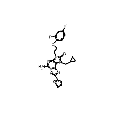 Nc1nc2c(c3nc(-c4ccco4)nn13)n(CC1CC1)c(=O)n2CCOc1ccc(F)cc1F